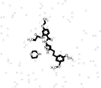 C1COCCN1.C=CC(=O)Nc1cc(OCC)ccc1C(=O)Nc1cc(CCc2cc(OC)cc(OC)c2)[nH]n1